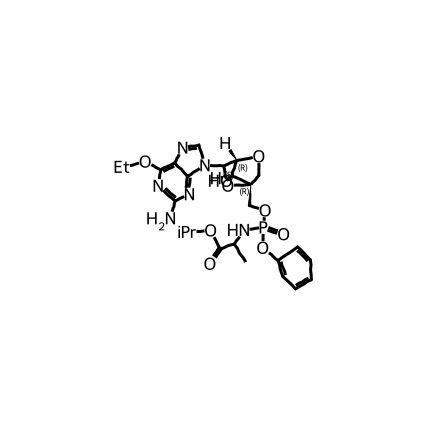 CCOc1nc(N)nc2c1ncn2C1O[C@@]2(COP(=O)(NC(C)C(=O)OC(C)C)Oc3ccccc3)CO[C@@H]1[C@@H]2O